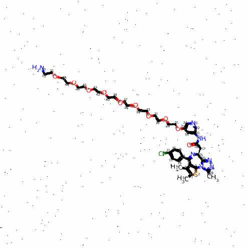 Cc1sc2c(c1C)C(c1ccc(Cl)cc1)=N[C@@H](CC(=O)Nc1cncc(OCCOCCOCCOCCOCCOCCOCCOCCOCCN)c1)c1nnc(C)n1-2